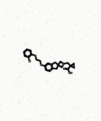 O=C(O)C1(CN2CC3(Cc4ccc(OCCOc5ccccc5Cl)cc4C3)C2)CC1